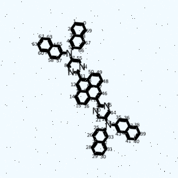 c1ccc2cc(N(c3cnc(-c4cc5cccc6c(-c7ncc(N(c8ccc9ccccc9c8)c8ccc9ccccc9c8)cn7)cc7cccc4c7c56)nc3)c3ccc4ccccc4c3)ccc2c1